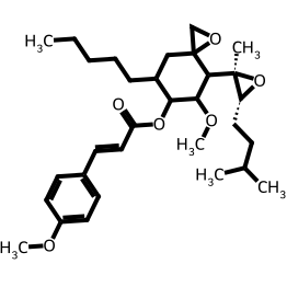 CCCCCC1CC2(CO2)C([C@@]2(C)O[C@@H]2CCC(C)C)C(OC)C1OC(=O)C=Cc1ccc(OC)cc1